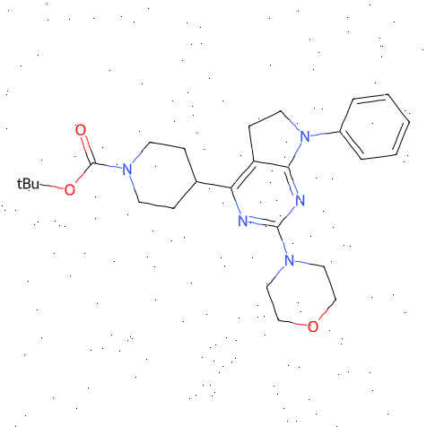 CC(C)(C)OC(=O)N1CCC(c2nc(N3CCOCC3)nc3c2CCN3c2ccccc2)CC1